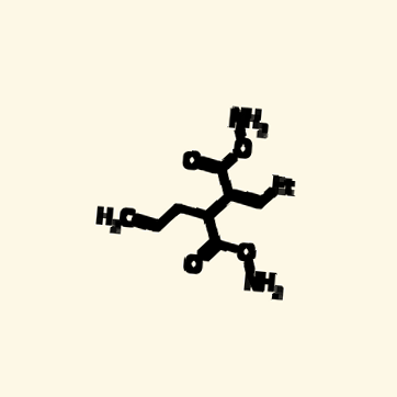 C=CCC(C(=O)ON)C(=CCC)C(=O)ON